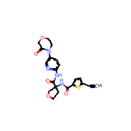 C#Cc1ccc(C(=O)NC2(C(=O)Nc3ccc(N4CCOCC4=O)cn3)CCOC2)s1